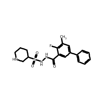 Cc1cc(-c2ccccc2)cc(C(=O)NNS(=O)(=O)C2CCCNC2)c1F